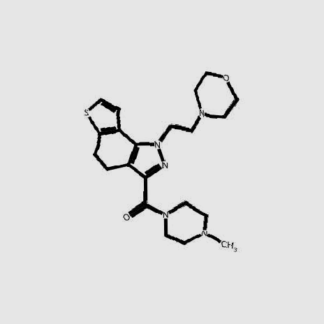 CN1CCN(C(=O)c2nn(CCN3CCOCC3)c3c2CCc2sccc2-3)CC1